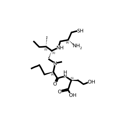 CCC[C@H](C(=O)N[C@@H](CCO)C(=O)O)N(C)C[C@@H](NC[C@@H](N)CS)[C@@H](C)CC